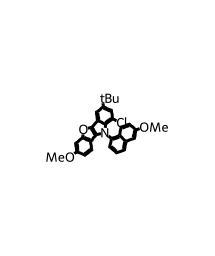 COc1ccc2c(-n3c4c(Cl)cc(C(C)(C)C)cc4c4oc5cc(OC)ccc5c43)cccc2c1